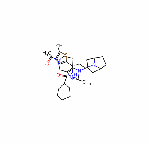 CC(=O)N1CCc2c(nc(C)n2C2CC3CCC(C2)N3CC[C@H](NC(=O)C2CCCCC2)c2ccc(C)s2)C1